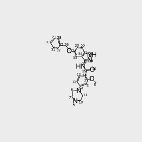 COc1cc(N2CCN(C)CC2)ccc1C(=O)Nc1n[nH]c2ccc(OCc3ccccc3)cc12